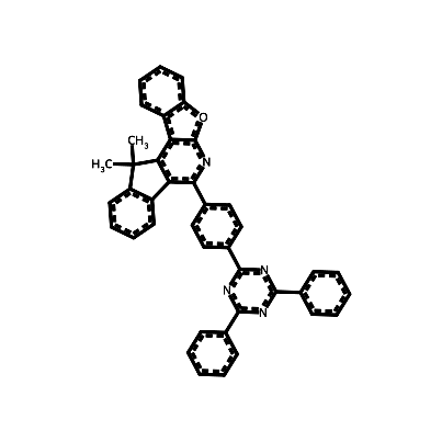 CC1(C)c2ccccc2-c2c(-c3ccc(-c4nc(-c5ccccc5)nc(-c5ccccc5)n4)cc3)nc3oc4ccccc4c3c21